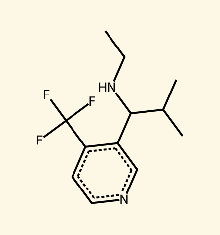 CCNC(c1cnccc1C(F)(F)F)C(C)C